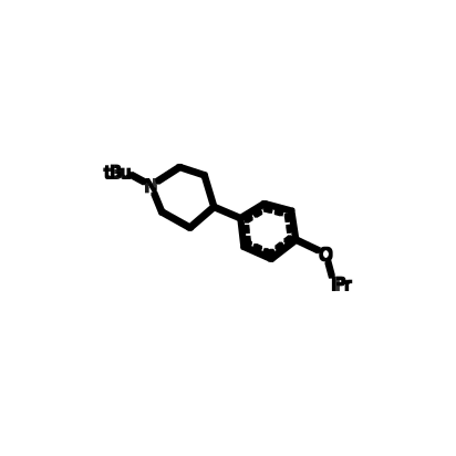 CC(C)Oc1ccc(C2CCN(C(C)(C)C)CC2)cc1